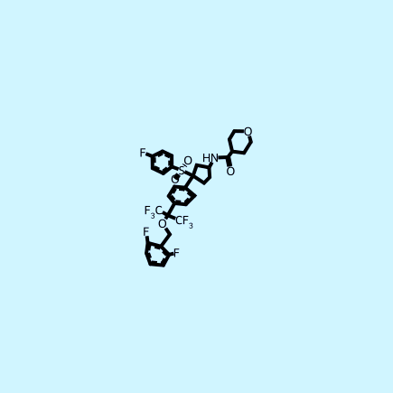 O=C(NC1CCC(c2ccc(C(OCc3c(F)cccc3F)(C(F)(F)F)C(F)(F)F)cc2)(S(=O)(=O)c2ccc(F)cc2)C1)C1CCOCC1